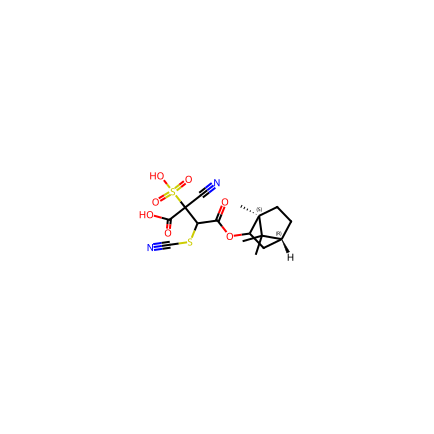 CC1(C)[C@@H]2CC[C@]1(C)C(OC(=O)C(SC#N)C(C#N)(C(=O)O)S(=O)(=O)O)C2